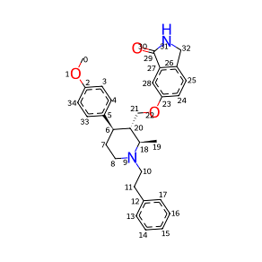 COc1ccc([C@@H]2CCN(CCc3ccccc3)[C@H](C)[C@H]2COc2ccc3c(c2)C(=O)NC3)cc1